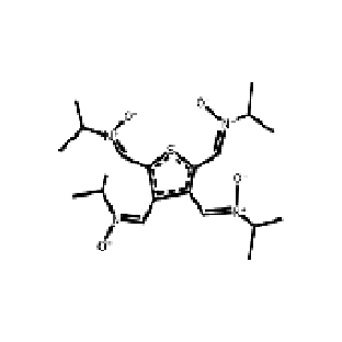 CC(C)/[N+]([O-])=C/c1sc(/C=[N+](\[O-])C(C)C)c(/C=[N+](/[O-])C(C)C)c1/C=[N+](\[O-])C(C)C